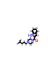 CC(C)CCCN1CCN(C(=O)c2cc3ccccc3[nH]2)CC1